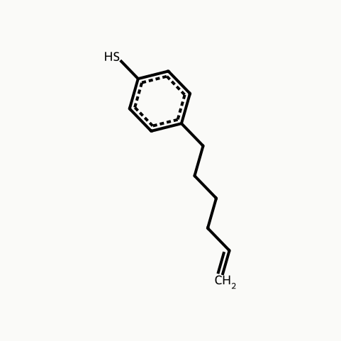 C=CCCCCc1ccc(S)cc1